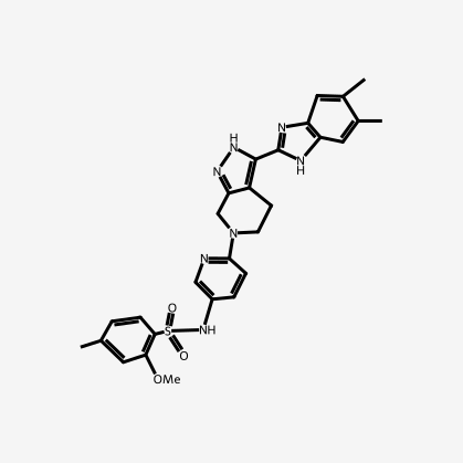 COc1cc(C)ccc1S(=O)(=O)Nc1ccc(N2CCc3c(n[nH]c3-c3nc4cc(C)c(C)cc4[nH]3)C2)nc1